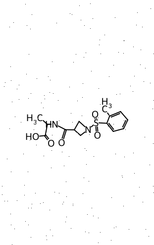 Cc1ccccc1S(=O)(=O)N1CC(C(=O)NC(C)C(=O)O)C1